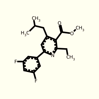 CCc1nc(-c2cc(F)cc(F)c2)cc(CC(C)C)c1C(=O)OC